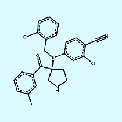 Cc1cccc(C(=O)[C@]2(N(Cc3ccccc3Cl)c3ccc(C#N)c(Cl)c3)CCNC2)c1